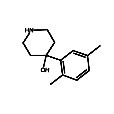 Cc1ccc(C)c(C2(O)CCNCC2)c1